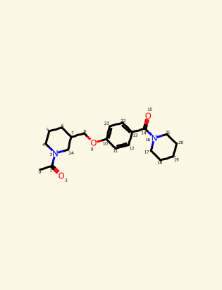 CC(=O)N1CCCC(COc2ccc(C(=O)N3CC[CH]CC3)cc2)C1